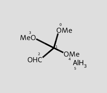 COC(C=O)(OC)OC.[AlH3]